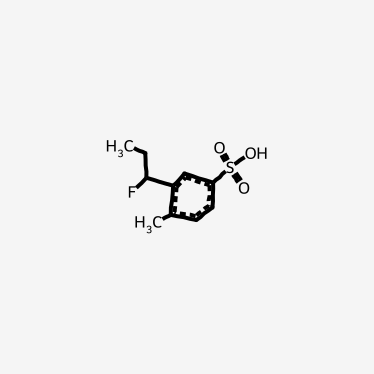 CCC(F)c1cc(S(=O)(=O)O)ccc1C